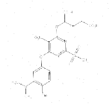 CN(C)c1cc(Oc2nc(S(C)(=O)=O)nc(OC(CCC(=O)O)C(=O)O)c2[N+](=O)[O-])ccc1C#N